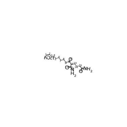 CCCCCCCC/C=C\CCCCCCCC(=O)C(CCCC(N)=O)C(N)=O